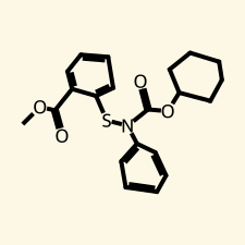 COC(=O)c1ccccc1SN(C(=O)OC1CCCCC1)c1ccccc1